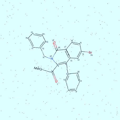 COC(=O)c1c(-c2ccccc2)c2cc(Br)ccc2c(=O)n1Cc1ccccc1